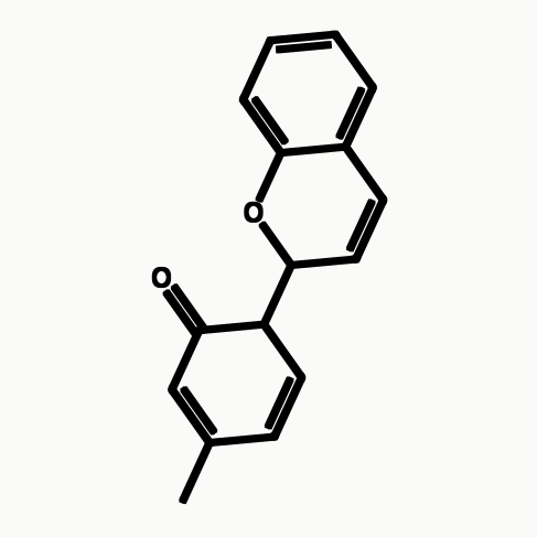 CC1=CC(=O)C(C2C=Cc3ccccc3O2)C=C1